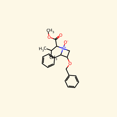 COC(=O)C(C(C)C)[N+]1([O-])CC(OCc2ccccc2)C1c1ccccc1